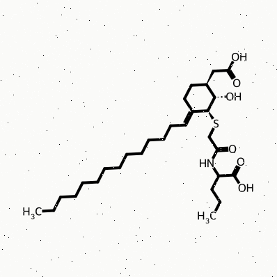 CCCCCCCCCCCCC/C=C1\CC[C@@H](CC(=O)O)[C@H](O)[C@H]1SCC(=O)NC(CCC)C(=O)O